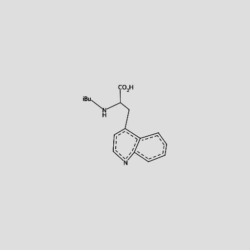 CCC(C)NC(Cc1ccnc2ccccc12)C(=O)O